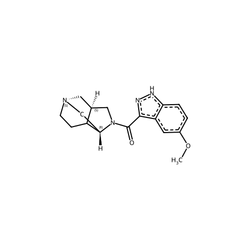 COc1ccc2[nH]nc(C(=O)N3C[C@@H]4C[N@@]5CCC4[C@@H]3C5)c2c1